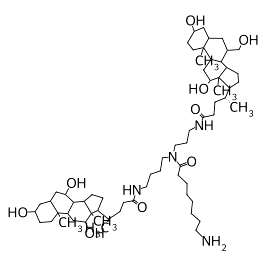 C[C@H](CCC(=O)NCCCCN(CCCNC(=O)CC[C@@H](C)C1CCC2C3C(CO)CC4CC(O)CCC4(C)C3CC(O)C21C)C(=O)CCCCCCCN)C1CCC2C3C(O)CC4CC(O)CCC4(C)C3CC(O)C21C